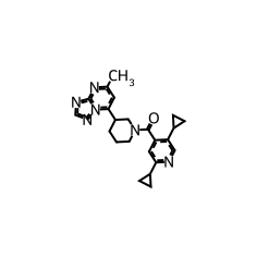 Cc1cc(C2CCCN(C(=O)c3cc(C4CC4)ncc3C3CC3)C2)n2ncnc2n1